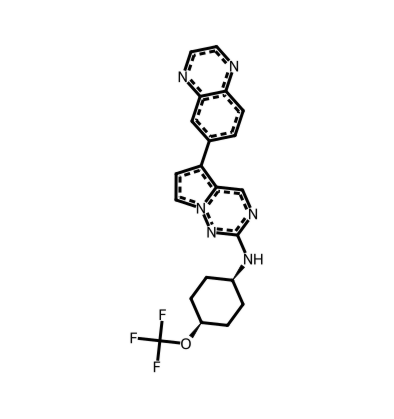 FC(F)(F)O[C@H]1CC[C@@H](Nc2ncc3c(-c4ccc5nccnc5c4)ccn3n2)CC1